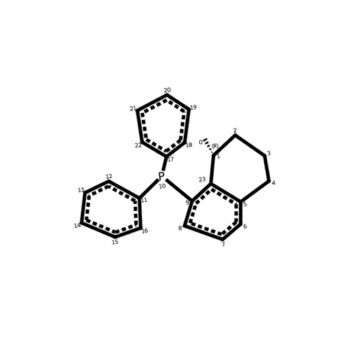 C[C@@H]1CCCc2cccc(P(c3ccccc3)c3ccccc3)c21